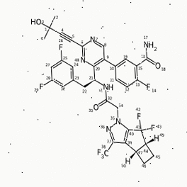 CC(C)(O)C#Cc1ncc(-c2ccc(F)c(C(N)=O)c2)c([C@H](Cc2cc(F)cc(F)c2)NC(=O)Cn2nc(C(F)(F)F)c3c2C(F)(F)[C@@H]2CC[C@H]32)n1